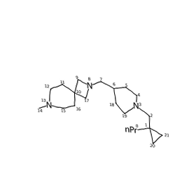 CCCC1(CN2CCC(CN3CC4(CCN(C)CC4)C3)CC2)CC1